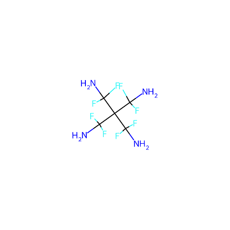 NC(F)(F)C(C(N)(F)F)(C(N)(F)F)C(N)(F)F